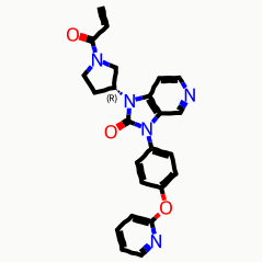 C=CC(=O)N1CC[C@@H](n2c(=O)n(-c3ccc(Oc4ccccn4)cc3)c3cnccc32)C1